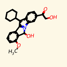 COc1cccc2c1C(O)n1c-2c(C2CCCCC2)c2ccc(C(=O)CO)cc21